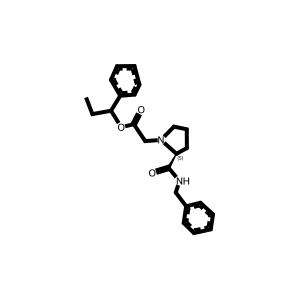 CCC(OC(=O)CN1CCC[C@H]1C(=O)NCc1ccccc1)c1ccccc1